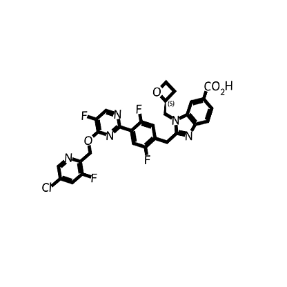 O=C(O)c1ccc2nc(Cc3cc(F)c(-c4ncc(F)c(OCc5ncc(Cl)cc5F)n4)cc3F)n(C[C@@H]3CCO3)c2c1